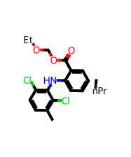 CCCC.CCOCOC(=O)c1ccccc1Nc1c(Cl)ccc(C)c1Cl